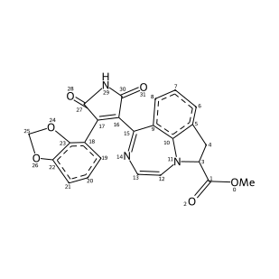 COC(=O)C1Cc2cccc3c2N1C=CN=C3C1=C(c2cccc3c2OCO3)C(=O)NC1=O